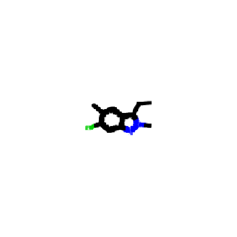 CCc1c2cc(C)c(Cl)cc2nn1C